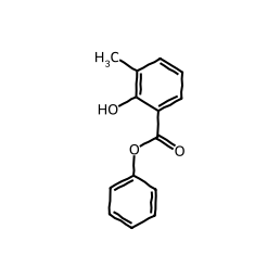 Cc1cccc(C(=O)Oc2ccccc2)c1O